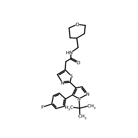 CC(C)(C)n1ncc(-c2ncc(CC(=O)NCC3CCOCC3)s2)c1-c1ccc(F)cc1